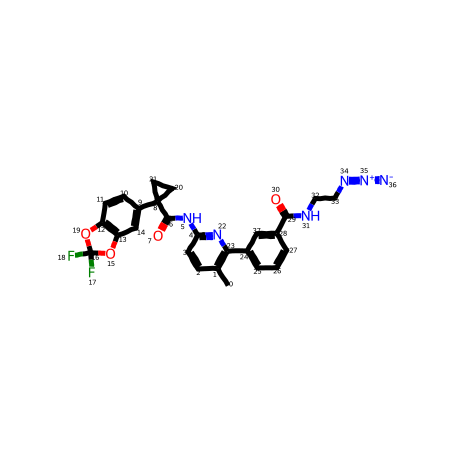 Cc1ccc(NC(=O)C2(c3ccc4c(c3)OC(F)(F)O4)CC2)nc1-c1cccc(C(=O)NCCN=[N+]=[N-])c1